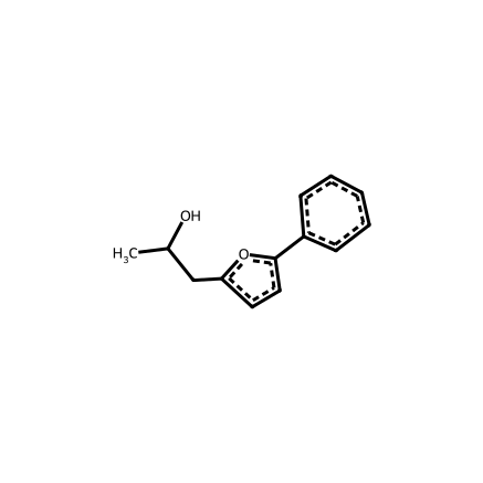 CC(O)Cc1ccc(-c2ccccc2)o1